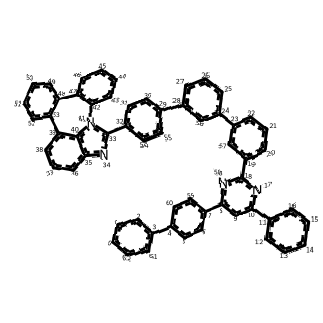 c1ccc(-c2ccc(-c3cc(-c4ccccc4)nc(-c4cccc(-c5cccc(-c6ccc(-c7nc8cccc9c8n7-c7ccccc7-c7ccccc7-9)cc6)c5)c4)n3)cc2)cc1